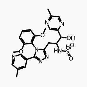 COc1cccc(OC)c1-n1c(C[C@H](N[SH](=O)=O)[C@H](O)c2cnc(C)cn2)nnc1-c1cncc(C)c1